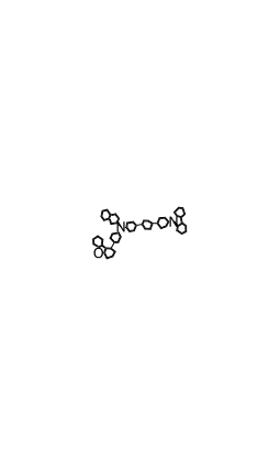 c1ccc2cc(N(c3ccc(-c4ccc(-c5ccc(-n6c7ccccc7c7ccccc76)cc5)cc4)cc3)c3ccc(-c4cccc5oc6ccccc6c45)cc3)ccc2c1